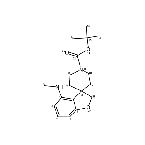 CNc1cccc2c1C1(CCN(C(=O)OC(C)(C)C)CC1)CO2